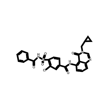 O=C(Nc1cccc2ncn(CC3CC3)c(=O)c12)c1ccc(S(=O)(=O)NC(=O)c2ccccc2)c(Cl)c1